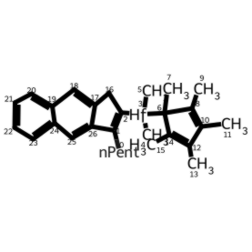 CCCCCC1=[C]([Hf]([CH3])([CH3])[C]2(C)C(C)=C(C)C(C)=C2C)Cc2cc3ccccc3cc21